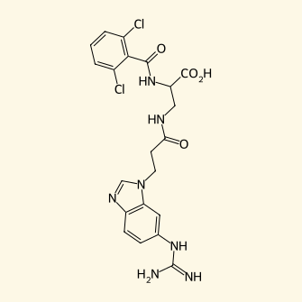 N=C(N)Nc1ccc2ncn(CCC(=O)NCC(NC(=O)c3c(Cl)cccc3Cl)C(=O)O)c2c1